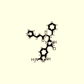 Nc1n[nH]c2cc(-c3nc([C@H](Cc4ccccc4)NC(=O)C=Cc4ccsc4)[nH]c3Cl)ccc12